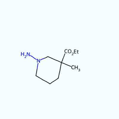 CCOC(=O)C1(C)CCCN(N)C1